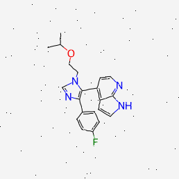 CC(C)OCCn1cnc(-c2ccc(F)cc2)c1-c1ccnc2[nH]ccc12